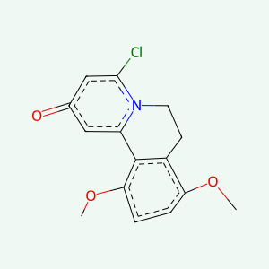 COc1ccc(OC)c2c1CCn1c(Cl)cc(=O)cc1-2